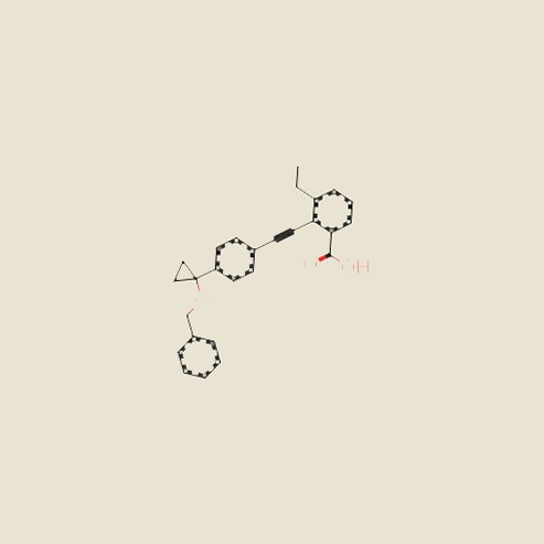 CCc1cccc(C(=O)O)c1C#Cc1ccc(C2(OCc3ccccc3)CC2)cc1